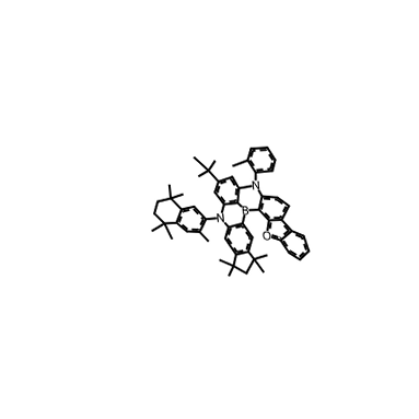 Cc1cc2c(cc1N1c3cc4c(cc3B3c5c1cc(C(C)(C)C)cc5N(c1ccccc1C)c1ccc5c(oc6ccccc65)c13)C(C)(C)CC4(C)C)C(C)(C)CCC2(C)C